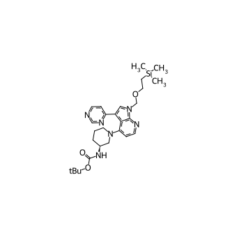 CC(C)(C)OC(=O)N[C@H]1CCCN(c2ccnc3c2c(-c2ccncn2)cn3COCC[Si](C)(C)C)C1